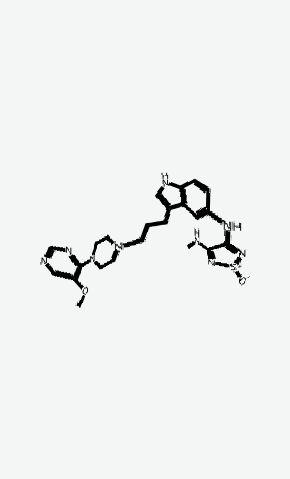 CNc1n[s+]([O-])nc1Nc1ccc2[nH]cc(CCCN3CCN(c4ncncc4OC)CC3)c2c1